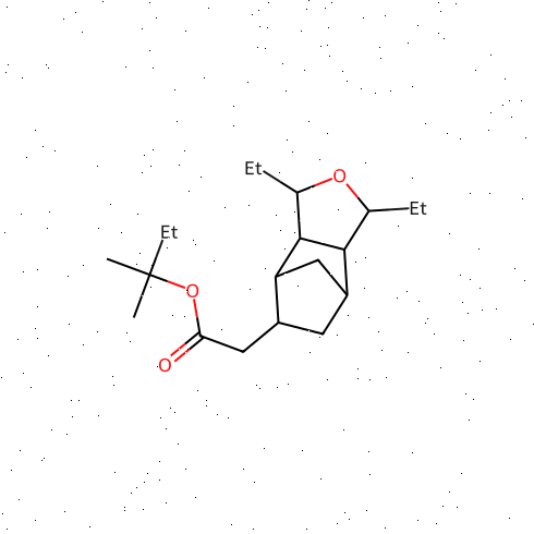 CCC1OC(CC)C2C3CC(CC3CC(=O)OC(C)(C)CC)C12